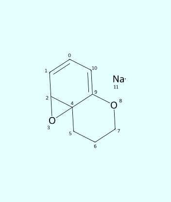 C1=CC2OC23CCCOC3=C1.[Na]